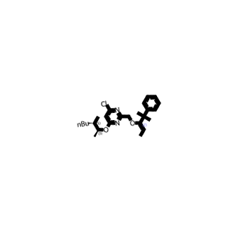 C/C=C(\OCc1nc(Cl)cc(O[C@@H](C)[C@@H](C)CCCC)n1)C(C)(C)c1ccccc1